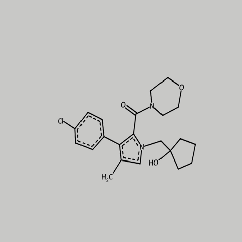 Cc1cn(CC2(O)CCCC2)c(C(=O)N2CCOCC2)c1-c1ccc(Cl)cc1